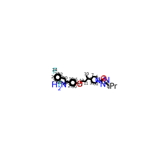 CC(C)c1noc(N2CCC(C(C)CCOc3ccc(C(N)Cc4cc(F)ccc4F)cc3)CC2)n1